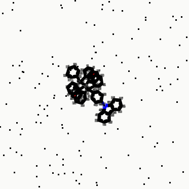 c1ccc([Si](c2ccccc2)(c2ccccc2)[Si](c2ccccc2)(c2ccccc2)[Si](c2ccccc2)(c2ccccc2)c2ccc(-n3c4ccccc4c4ccccc43)cc2)cc1